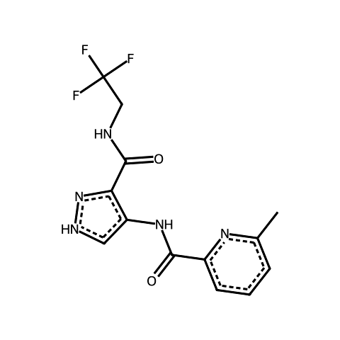 Cc1cccc(C(=O)Nc2c[nH]nc2C(=O)NCC(F)(F)F)n1